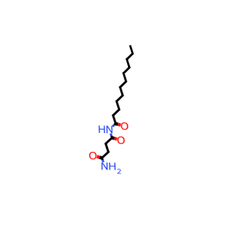 CCCCCCCCCCCC(=O)NC(=O)CCC(N)=O